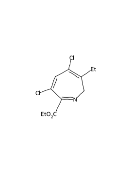 CCOC(=O)C1=NCC(CC)=C(Cl)C=C1Cl